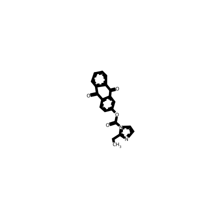 CCc1nccn1C(=O)Oc1ccc2c(c1)C(=O)c1ccccc1C2=O